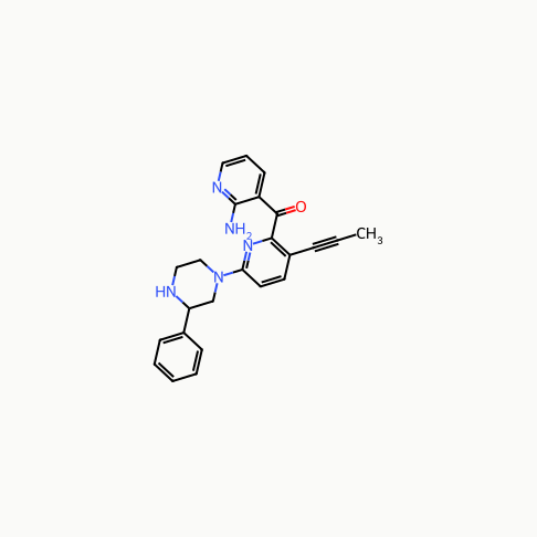 CC#Cc1ccc(N2CCNC(c3ccccc3)C2)nc1C(=O)c1cccnc1N